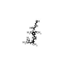 CCc1cc(-c2noc(-c3cc(C)c(CN(CC)CC)s3)n2)cc(C)c1OC[C@@H](O)CNCCCO